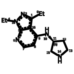 CCc1nn(CC)c2nccc(N[C@H]3CCNC3)c12